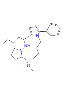 CCCCC(NN1CCCC1COC)c1cnc(-c2ccccc2)n1CCCC